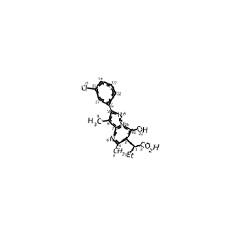 CCC(C(=O)O)c1c(C)nc2c(C)c(-c3cccc(Cl)c3)nn2c1O